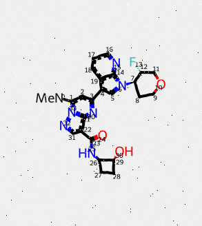 CNc1cc(-c2cn([C@@H]3CCOC[C@H]3F)c3ncccc23)nc2c(C(=O)NC3CC[C@@H]3O)cnn12